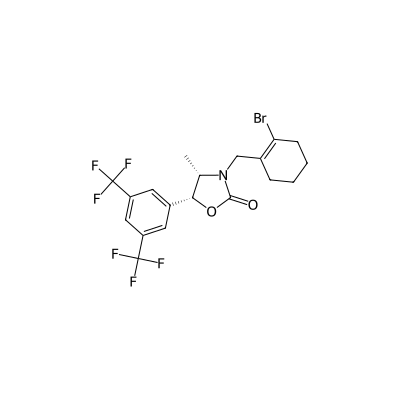 C[C@H]1[C@@H](c2cc(C(F)(F)F)cc(C(F)(F)F)c2)OC(=O)N1CC1=C(Br)CCCC1